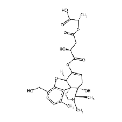 Cc1ccc(CO)c2c1[C@]13CCN(C)[C@H](C)[C@]1(O)CC=C(OC(=O)[C@@H](O)CC(=O)O[C@@H](C)C(=O)O)[C@@H]3O2